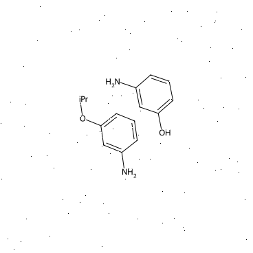 CC(C)Oc1cccc(N)c1.Nc1cccc(O)c1